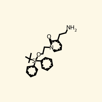 CC(C)(C)[Si](OCCn1cccc(CCN)c1=O)(c1ccccc1)c1ccccc1